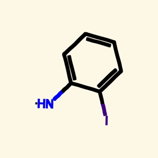 [NH]c1ccccc1I